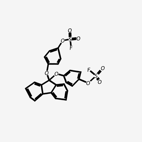 O=S(=O)(F)Oc1ccc(OC2(Oc3ccc(OS(=O)(=O)F)cc3)c3ccccc3-c3ccccc32)cc1